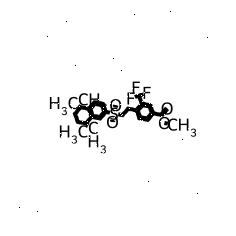 COC(=O)c1ccc(CCS(=O)(=O)c2ccc3c(c2)C(C)(C)CCC3(C)C)c(C(F)(F)F)c1